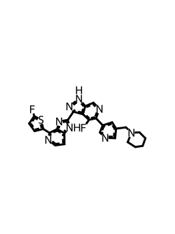 Fc1ccc(-c2nccc3[nH]c(-c4n[nH]c5cnc(-c6cncc(CN7CCCCC7)c6)c(F)c45)nc23)s1